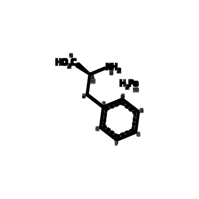 N[C@@H](Cc1ccccc1)C(=O)O.[PoH2]